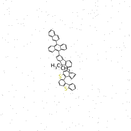 CC1(C)c2ccc(-c3c4ccccc4c(-c4ccc5ccccc5c4)c4ccccc34)cc2-c2cccc(-c3cc4sc5ccc6sc7ccccc7c6c5c4c4ccccc34)c21